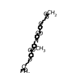 C=CC(=O)OCCCCOc1ccc(C(=O)Oc2ccc(/N=C/c3ccc(OC(=O)c4ccc(OCCCCOC(=O)C=C)cc4)c(C)c3)cc2)cc1